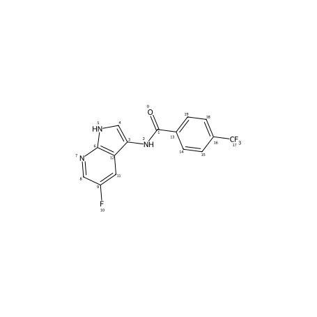 O=C(Nc1c[nH]c2ncc(F)cc12)c1ccc(C(F)(F)F)cc1